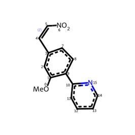 COc1cc(/C=C\[N+](=O)[O-])ccc1-c1ccccn1